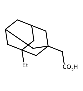 CCC12CC3CC(C1)CC(CC(=O)O)(C3)C2